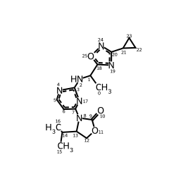 CC(Nc1nccc(N2C(=O)OCC2C(C)C)n1)c1nc(C2CC2)no1